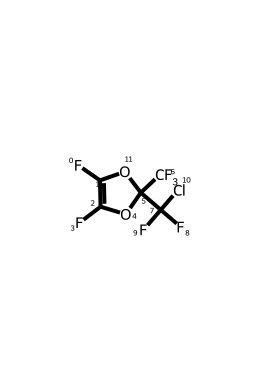 FC1=C(F)OC(C(F)(F)F)(C(F)(F)Cl)O1